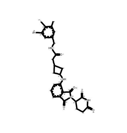 Cc1cc(CNC(=O)CC2CC(Nc3cccc4c3C(=O)N(C3CCC(=O)NC3=O)C4=O)C2)cc(C(C)C)c1I